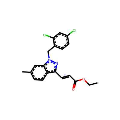 CCOC(=O)/C=C/c1nn(Cc2ccc(Cl)cc2Cl)c2cc(C)ccc12